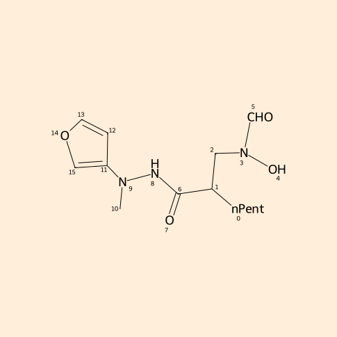 CCCCCC(CN(O)C=O)C(=O)NN(C)c1ccoc1